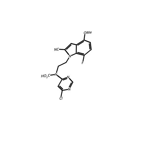 COc1ccc(F)c2c1cc(C#N)n2CCN(C(=O)O)c1cc(Cl)ncn1